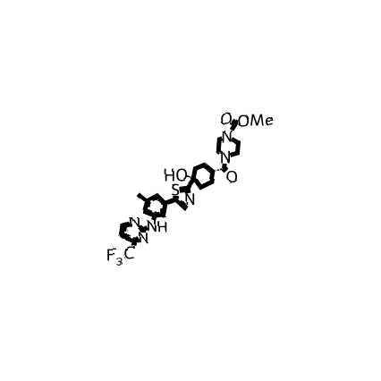 COC(=O)N1CCN(C(=O)[C@H]2CC[C@](O)(c3ncc(-c4cc(C)cc(Nc5nccc(C(F)(F)F)n5)c4)s3)CC2)CC1